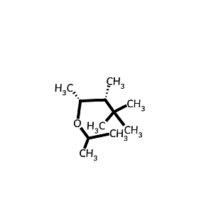 CC(C)O[C@H](C)[C@H](C)C(C)(C)C